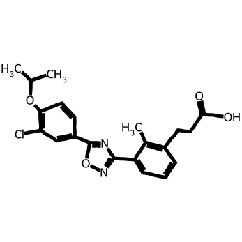 Cc1c(CCC(=O)O)cccc1-c1noc(-c2ccc(OC(C)C)c(Cl)c2)n1